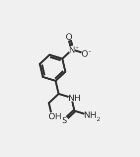 NC(=S)NC(CO)c1cccc([N+](=O)[O-])c1